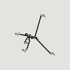 CCCCCCCCCCC#CC1=C(c2ccc(C)cc2)[N+](=[N-])C(c2cccc(CCCCCC)c2)=C1CCCCCC.CCCCCCCCCCCCCCCCCCCCC[CH2][Ni][CH2]CCCCCCCCCCCCCCCCCCCCC